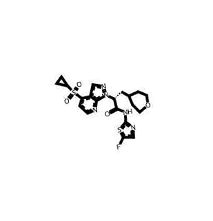 O=C(Nc1ncc(F)s1)[C@@H](CC1CCOCC1)n1ncc2c(S(=O)(=O)C3CC3)ccnc21